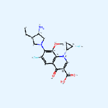 CC[C@@H]1CN(c2c(F)cc3c(=O)c(C(=O)O)cn([C@@H]4C[C@@H]4F)c3c2OC)C[C@H]1N